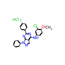 COc1ccc(Nc2nc(-c3ccc(F)cc3)nc3c2cnn3-c2ccccc2)cc1Cl.Cl